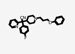 N#CC(c1ccc(F)cc1)(c1ccccn1)C1CCN(CCCOc2ccccc2)CC1